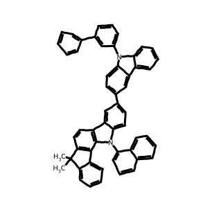 CC1(C)c2ccccc2-c2c1ccc1c3cc(-c4ccc5c(c4)c4ccccc4n5-c4cccc(-c5ccccc5)c4)ccc3n(-c3cccc4ccccc34)c21